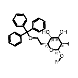 CC(C)O[C@@H]1O[C@@H](CCOC(c2ccccc2)(c2ccccc2)c2ccccc2)[C@H](O)[C@@H](O)[C@H]1I